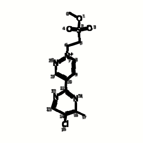 COS(=O)(=O)CC[n+]1ccc(-c2ncc(Cl)c(C)n2)cn1